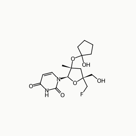 C[C@@]1(OC2(O)CCCC2)C[C@](CO)(CF)O[C@H]1n1ccc(=O)[nH]c1=O